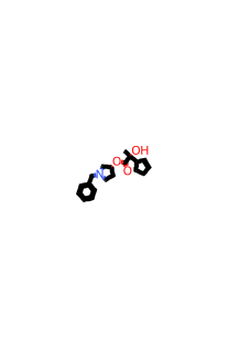 CC(O)(C(=O)OC1CCN(Cc2ccccc2)C1)C1C=CCC1